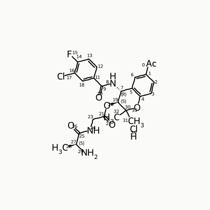 CC(=O)c1ccc2c(c1)[C@@H](NC(=O)c1ccc(F)c(Cl)c1)[C@H](OC(=O)CNC(=O)[C@H](C)N)C(C)(C)O2.Cl